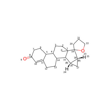 CC12CCC3C4CCC(=O)C=C4CCC3C1[C@H]1C[C@H]1C21CCCO1